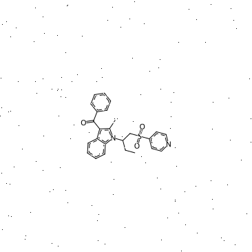 CCC(CS(=O)(=O)c1ccncc1)n1c(C)c(C(=O)c2ccccc2)c2ccccc21